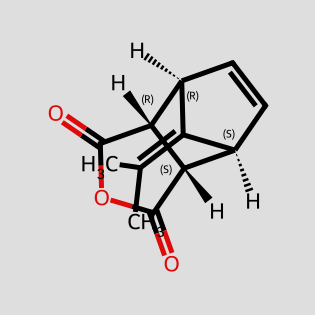 CC(C)=C1[C@H]2C=C[C@@H]1[C@H]1C(=O)OC(=O)[C@H]12